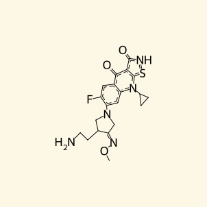 CON=C1CN(c2cc3c(cc2F)c(=O)c2c(=O)[nH]sc2n3C2CC2)CC1CCN